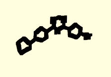 Brc1ccc(-c2ncnc(-c3ccc(-c4ccccc4)cc3)n2)cc1